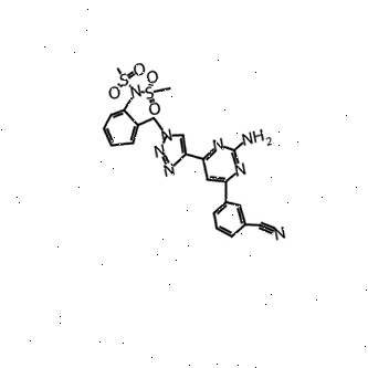 CS(=O)(=O)N(c1ccccc1Cn1cc(-c2cc(-c3cccc(C#N)c3)nc(N)n2)nn1)S(C)(=O)=O